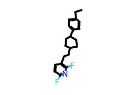 CCc1ccc(C2CCC(CCc3ccc(F)nc3F)CC2)cc1